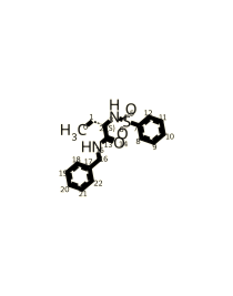 CC[C@H](NS(=O)(=O)c1ccccc1)C(=O)NCc1ccccc1